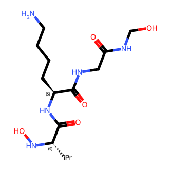 CC(C)[C@H](NO)C(=O)N[C@@H](CCCCN)C(=O)NCC(=O)NCO